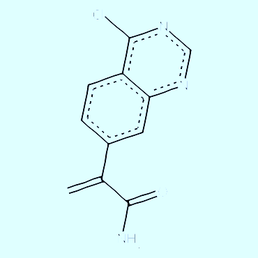 C=C(C(N)=O)c1ccc2c(Cl)ncnc2c1